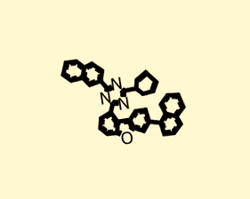 C1=CCC(c2nc(-c3ccc4ccccc4c3)nc(-c3cccc4oc5cc(-c6cccc7ccccc67)ccc5c34)n2)C=C1